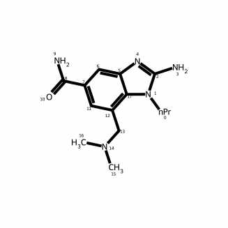 CCCn1c(N)nc2cc(C(N)=O)cc(CN(C)C)c21